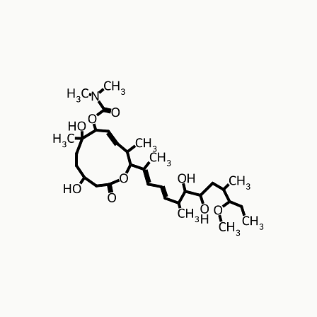 CCC(OC)C(C)CC(O)C(O)C(C)/C=C/C=C(\C)C1OC(=O)CC(O)CCC(C)(O)C(OC(=O)N(C)C)/C=C/C1C